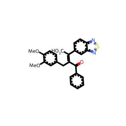 COc1ccc(CC(C(=O)c2ccccc2)=C(C(=O)O)c2ccc3nsnc3c2)cc1OC